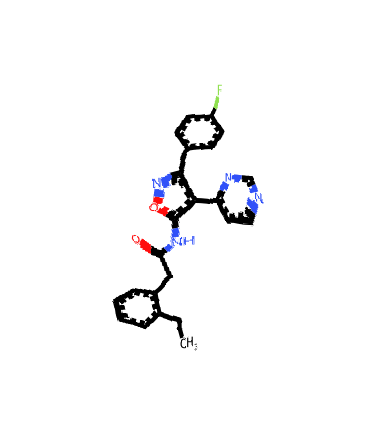 CCc1ccccc1CC(=O)Nc1onc(-c2ccc(F)cc2)c1-c1ccncn1